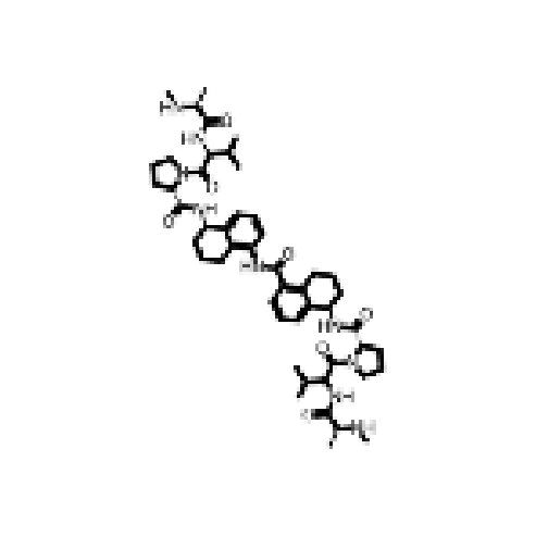 CN[C@@H](C)C(=O)NC(C(=O)N1CCC[C@H]1C(=O)N[C@@H]1CCCc2c(C(=O)Nc3cccc4c3CCC[C@H]4NC(=O)[C@@H]3CCCN3C(=O)[C@@H](NC(=O)[C@H](C)NC)C(C)C)cccc21)C(C)C